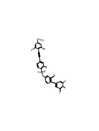 CCCCCc1cc(F)c(C#Cc2ccc(C(F)(F)Oc3ccc(-c4cc(F)c(F)c(F)c4)c(F)c3)c(F)c2)c(F)c1